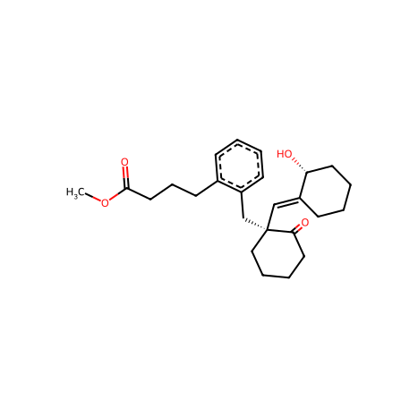 COC(=O)CCCc1ccccc1C[C@@]1(/C=C2\CCCC[C@H]2O)CCCCC1=O